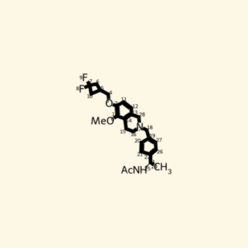 COc1c(OCC2CC(F)(F)C2)ccc2c1CCN(Cc1ccc([C@H](C)NC(C)=O)cc1)C2